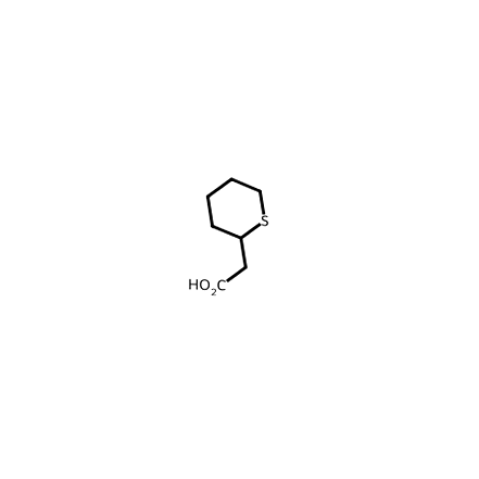 O=C(O)CC1CCCCS1